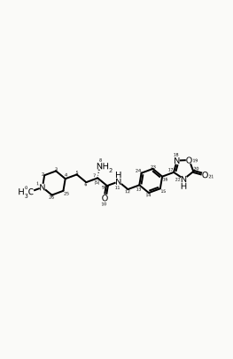 CN1CCC(CC[C@H](N)C(=O)NCc2ccc(-c3noc(=O)[nH]3)cc2)CC1